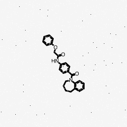 O=C(COc1ccccc1)Nc1ccc(C(=O)N2CCCCc3ccccc32)cc1